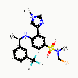 C[C@@H](Nc1ccc(S(=O)(=O)N(C)CP)cc1-c1cn(C)cn1)c1cccc(C(F)(F)F)c1